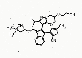 Cc1cc(-c2c(-c3c(C(F)F)nn4c3OCC(OCCO)C4)n(COCC[Si](C)(C)C)c3ncccc23)c(C#N)s1